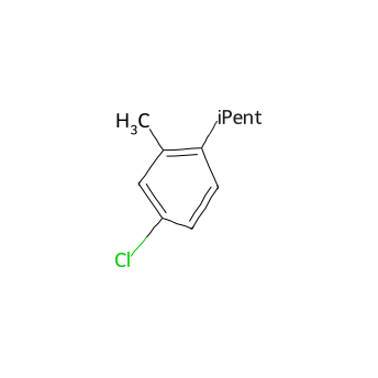 CCCC(C)c1ccc(Cl)cc1C